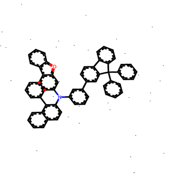 c1ccc(-c2c(N(c3cccc(-c4ccc5c(c4)C(c4ccccc4)(c4ccccc4)c4ccccc4-5)c3)c3ccc4c(c3)oc3ccccc34)ccc3ccccc23)cc1